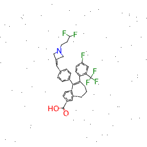 O=C(O)c1ccc2c(c1)CCCC(c1ccc(F)cc1C(F)(F)F)=C2c1ccc(C=C2CN(CCC(F)F)C2)cc1